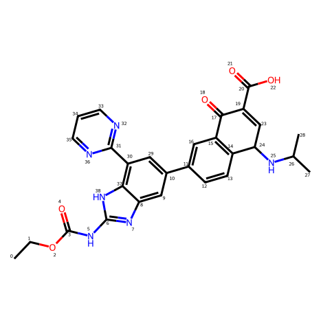 CCOC(=O)Nc1nc2cc(-c3ccc4c(c3)C(=O)C(C(=O)O)=CC4NC(C)C)cc(-c3ncccn3)c2[nH]1